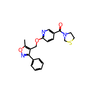 Cc1onc(-c2ccccc2)c1COc1ccc(C(=O)N2CCSC2)cn1